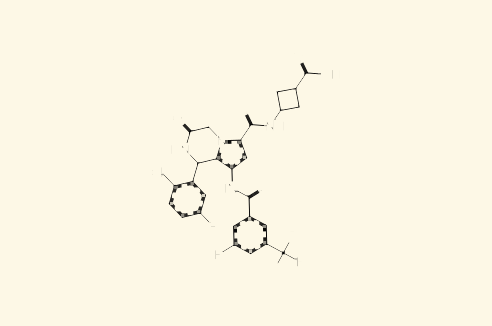 O=C1Cn2c(C(=O)NC3CC(C(=O)O)C3)cc(NC(=O)c3cc(F)cc(C(F)(F)F)c3)c2C(c2cc(F)ccc2Cl)N1